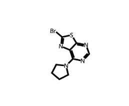 Brc1nc2c(N3CCCC3)ncnc2s1